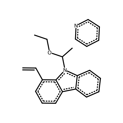 C=Cc1cccc2c3ccccc3n(C(C)OCC)c12.c1ccncc1